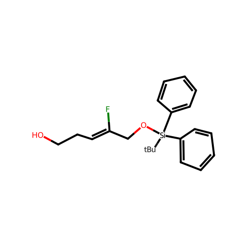 CC(C)(C)[Si](OCC(F)=CCCO)(c1ccccc1)c1ccccc1